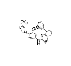 COc1cc(Nc2ncc3c(n2)C(c2ccccc2)CCC3)ccc1-n1cnc(C)c1